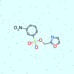 O=[N+]([O-])c1cccc(S(=O)(=O)OCc2ncco2)c1